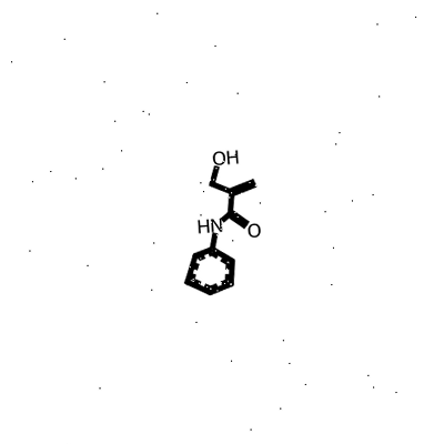 C=C(CO)C(=O)Nc1ccccc1